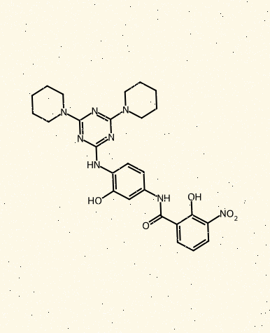 O=C(Nc1ccc(Nc2nc(N3CCCCC3)nc(N3CCCCC3)n2)c(O)c1)c1cccc([N+](=O)[O-])c1O